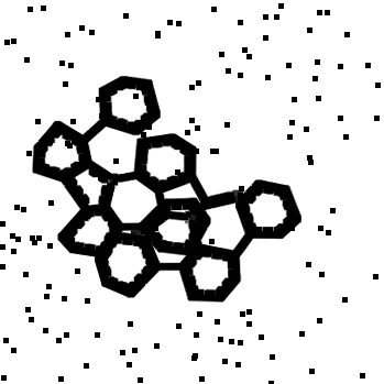 O=C1c2cccc(-n3c4c(-c5ccccc5)cccc4c4cccc(-c5ccccc5)c43)c2C(=O)N1c1c(-c2ccccc2)cccc1-c1ccccc1